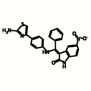 Nc1nc(-c2ccc(N/C(=C3\C(=O)Nc4ccc([N+](=O)[O-])cc43)c3ccccc3)cc2)cs1